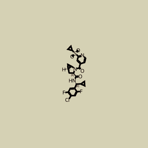 O=C(N[C@@H](c1cc(F)c(Cl)cc1F)C1CC1)[C@H]1C[C@H]2C=C2N1C(=O)c1ccnc(S(=O)(=O)C2CC2)c1